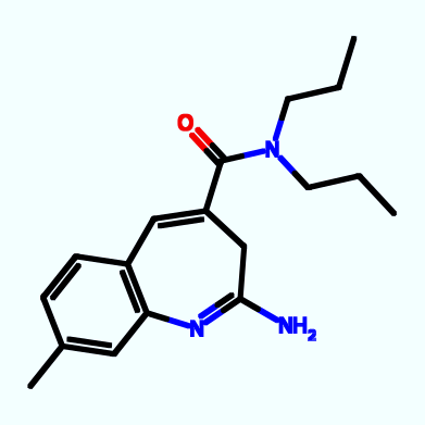 CCCN(CCC)C(=O)C1=Cc2ccc(C)cc2N=C(N)C1